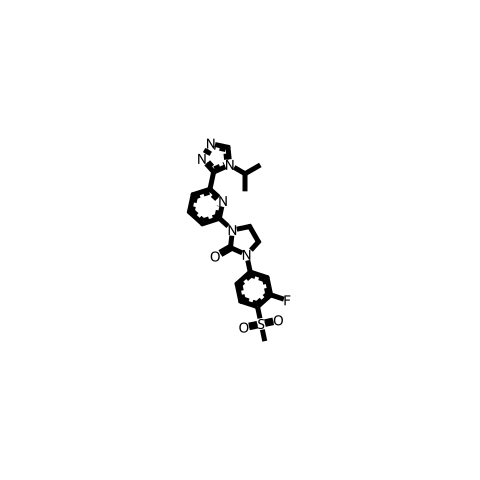 CC(C)n1cnnc1-c1cccc(N2CCN(c3ccc(S(C)(=O)=O)c(F)c3)C2=O)n1